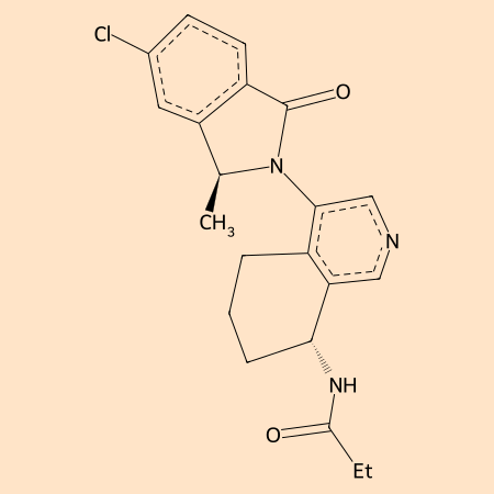 CCC(=O)N[C@@H]1CCCc2c1cncc2N1C(=O)c2ccc(Cl)cc2[C@@H]1C